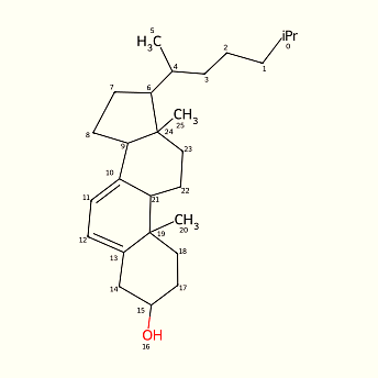 CC(C)CCCC(C)C1CCC2C3=CC=C4CC(O)CCC4(C)C3CCC21C